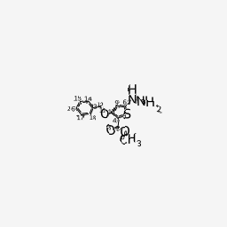 COC(=O)c1sc(NN)cc1OCc1ccccc1